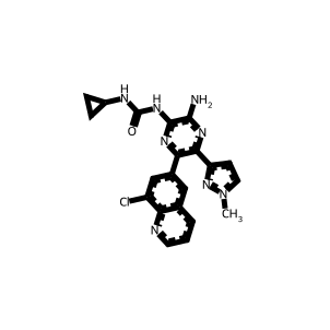 Cn1ccc(-c2nc(N)c(NC(=O)NC3CC3)nc2-c2cc(Cl)c3ncccc3c2)n1